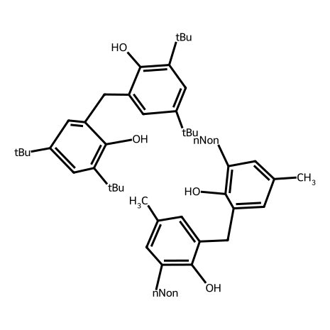 CC(C)(C)c1cc(Cc2cc(C(C)(C)C)cc(C(C)(C)C)c2O)c(O)c(C(C)(C)C)c1.CCCCCCCCCc1cc(C)cc(Cc2cc(C)cc(CCCCCCCCC)c2O)c1O